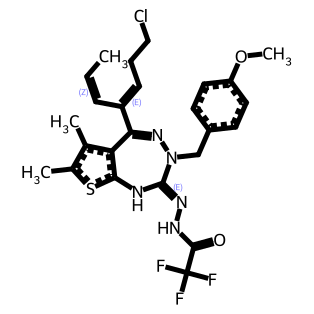 C/C=C\C(=C/CCCl)C1=NN(Cc2ccc(OC)cc2)/C(=N/NC(=O)C(F)(F)F)Nc2sc(C)c(C)c21